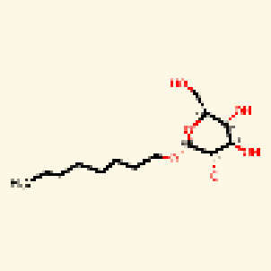 CCCCCCCCO[C@@H]1O[C@@H](CO)[C@H](O)[C@@H](O)[C@@H]1O